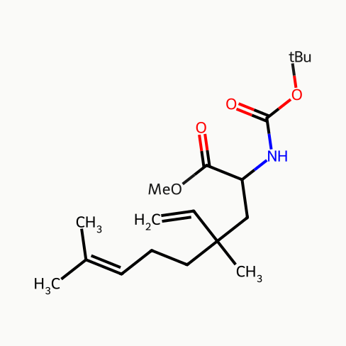 C=CC(C)(CCC=C(C)C)CC(NC(=O)OC(C)(C)C)C(=O)OC